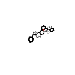 N=C(Cc1ccccc1)NC1CCN(C(=O)C(O)(c2ccccc2)c2ccccc2)CC1